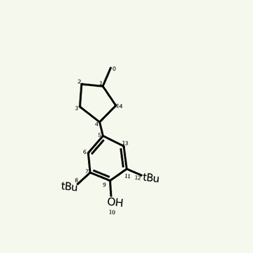 CC1CCC(c2cc(C(C)(C)C)c(O)c(C(C)(C)C)c2)C1